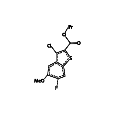 COc1cc2c(Cl)c(C(=O)OC(C)C)sc2cc1F